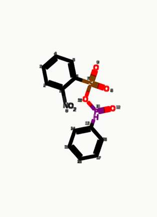 O=[N+]([O-])c1cc[c]cc1S(=O)(=O)O[PH](=O)c1ccccc1